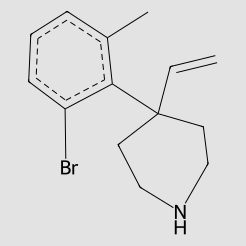 C=CC1(c2c(C)cccc2Br)CCNCC1